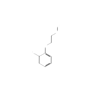 COCCOC1=CC=CCC1N